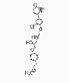 COCCc1ccc(OC[C@@H](O)CNCCOc2ccc(C3=NNC(=O)CC3)cc2Cl)cc1